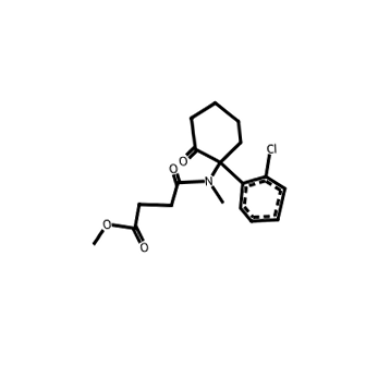 COC(=O)CCC(=O)N(C)C1(c2ccccc2Cl)CCCCC1=O